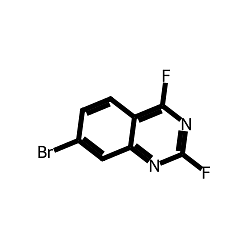 Fc1nc(F)c2ccc(Br)cc2n1